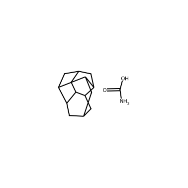 C1C2CC3C4CC5CC(C14)C(C2)C3C5.NC(=O)O